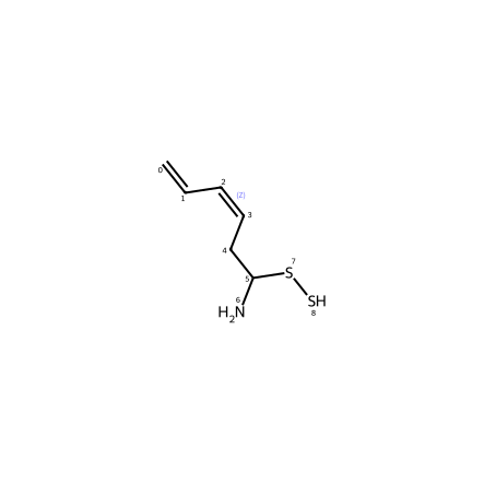 C=C/C=C\CC(N)SS